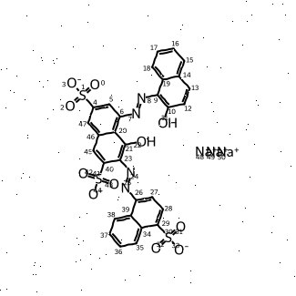 O=S(=O)([O-])c1cc(N=Nc2c(O)ccc3ccccc23)c2c(O)c(N=Nc3ccc(S(=O)(=O)[O-])c4ccccc34)c(S(=O)(=O)[O-])cc2c1.[Na+].[Na+].[Na+]